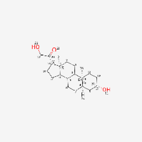 C[C@]12CCC3C(CC[C@@H]4C[C@@H](O)CC[C@]34C)C1CC[C@@H]2C(=O)CO